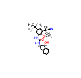 COc1c(NC(=O)N[C@@H]2Cc3ccccc3[C@H]2O)cc(C(C)(C)C)cc1C(C)(C)C#N